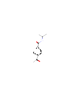 CC(=O)c1ccc(C(=O)NC(C)C)cc1